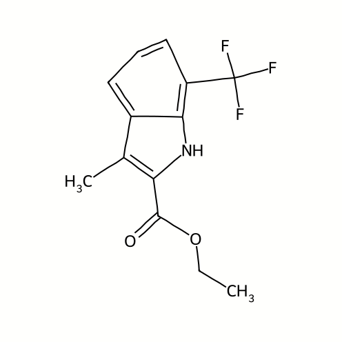 CCOC(=O)c1[nH]c2c(C(F)(F)F)cccc2c1C